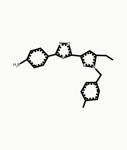 Bc1ccc(-c2noc(-c3cc(CC)n(Cc4ccc(C)cc4)n3)n2)cc1